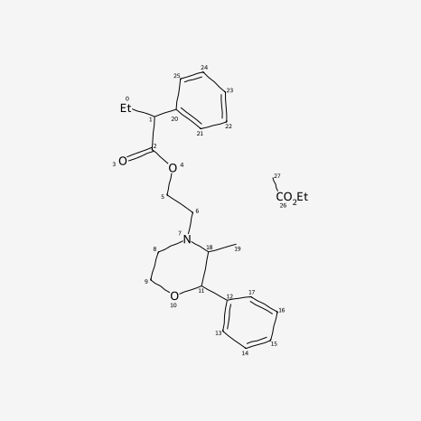 CCC(C(=O)OCCN1CCOC(c2ccccc2)C1C)c1ccccc1.CCOC(C)=O